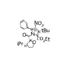 CCOC(=O)[C@@H]1[C@@H](C(C)(C)C)[C@H]([N+](=O)[O-])[C@H](c2ccccc2)N1C(=O)[C@@H]1OCC[C@@H]1C(C)C